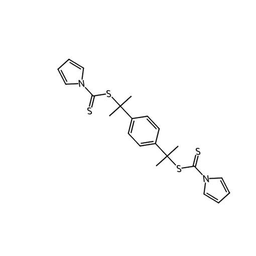 CC(C)(SC(=S)n1cccc1)c1ccc(C(C)(C)SC(=S)n2cccc2)cc1